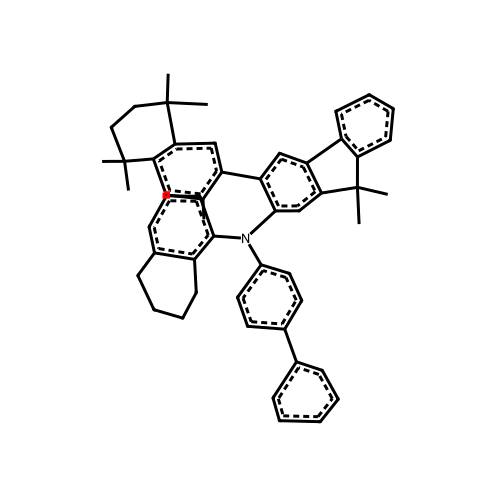 Cc1cc2c(cc1-c1cc3c(cc1N(c1ccc(-c4ccccc4)cc1)c1cccc4c1CCCC4)C(C)(C)c1ccccc1-3)C(C)(C)CCC2(C)C